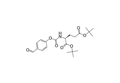 CC(C)(C)OC(=O)CC[C@H](NC(=O)Oc1ccc(C=O)cc1)C(=O)OC(C)(C)C